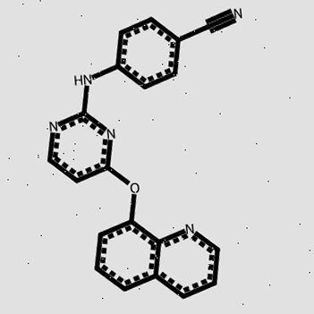 N#Cc1ccc(Nc2nccc(Oc3cccc4cccnc34)n2)cc1